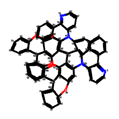 c1ccc(-c2ncccc2N2c3cccc4c3B(c3c2cc2c5c3Oc3ccccc3B5c3ccccc3O2)c2c(cc3c5c2Oc2ccccc2B5c2ccccc2O3)N4c2cccnc2-c2ccccc2)cc1